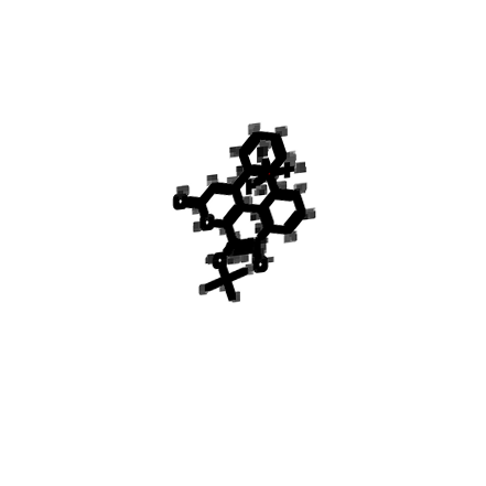 CC(C)(C)OC(=O)c1oc(=O)cc(-c2ccccc2)c1-c1c([N+](=O)[O-])cccc1C(F)(F)F